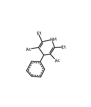 CCC1=C(C(C)=O)C(c2ccccc2)C(C(C)=O)=C(CC)N1